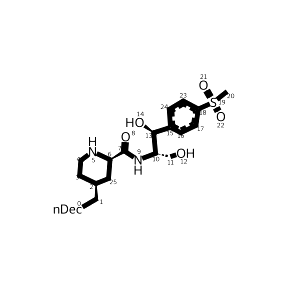 CCCCCCCCCCC[C@H]1CCN[C@@H](C(=O)N[C@@H](CO)[C@@H](O)c2ccc(S(C)(=O)=O)cc2)C1